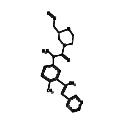 C/C(=C\c1cccnc1)c1cc(N(N)C(=O)N2CCOC(CN=O)C2)ccc1C